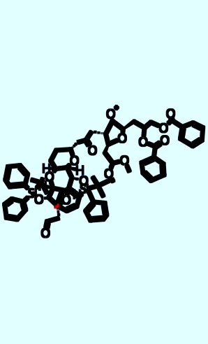 COC(C[C@@H]1O[C@H](CC(COC(=O)c2ccccc2)OC(=O)c2ccccc2)[C@H](OC)[C@H]1CC(=O)C[C@H]1CC[C@@H]2O[C@@H]3[C@@H](O[C@H](CC=O)[C@@H]3O[Si](c3ccccc3)(c3ccccc3)C(C)(C)C)[C@@H](O[Si](c3ccccc3)(c3ccccc3)C(C)(C)C)[C@H]2O1)OC